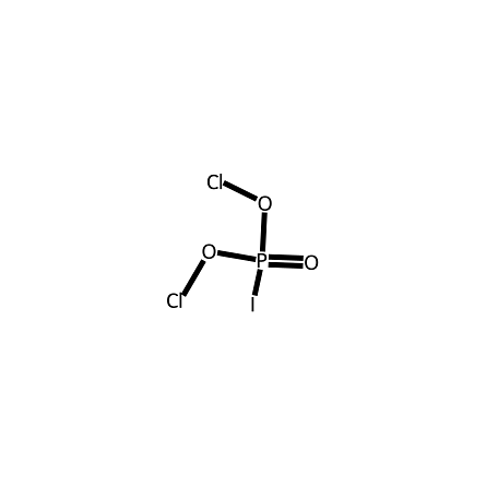 O=P(I)(OCl)OCl